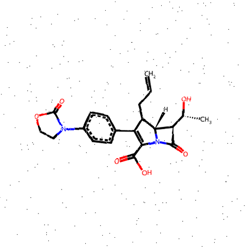 C=CCC1C(c2ccc(N3CCOC3=O)cc2)=C(C(=O)O)N2C(=O)[C@H]([C@@H](C)O)[C@@H]12